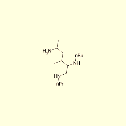 CCCCNC(CNCCC)C(C)CC(C)N